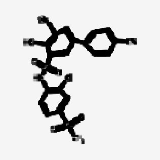 CC(C)(C)c1cc(-c2ccc(C#N)cc2)cc(S(=O)(=O)Nc2ccc(S(=O)(=O)C(F)(F)F)cc2Cl)c1O